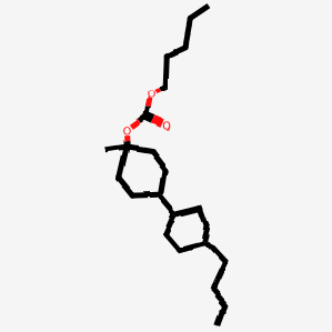 CCCCCOC(=O)OC1(C)CCC(C2CCC(CCCC)CC2)CC1